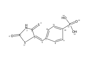 O=C1NC(=S)/C(=C\c2ccc(P(=O)(O)O)cc2)S1